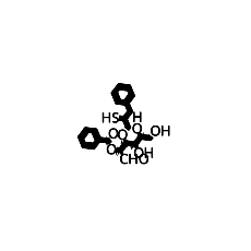 O=C[C@H](OC(=O)c1ccccc1)[C@@H](OCC(S)Cc1ccccc1)[C@H](O)[C@H](O)CO